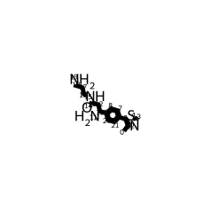 Cc1ncsc1-c1ccc([C@@H](N)CC(=O)NCCCN)cc1